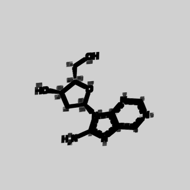 Nc1nc2cncnc2n1[C@H]1C[C@@H](O)[C@H](CO)O1